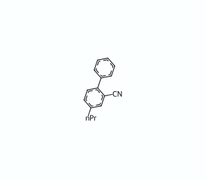 CCCc1ccc(-c2ccccc2)c(C#N)c1